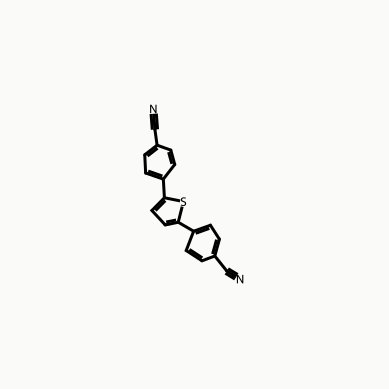 N#Cc1ccc(-c2ccc(-c3ccc(C#N)cc3)s2)cc1